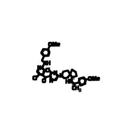 COc1ccc(CNc2cc(C(=O)c3ncc(N4CCC5(CCC[C@H]5N[C@H](C)c5ccc(OC)cc5)CC4)nc3Cl)c(Cl)cn2)cc1